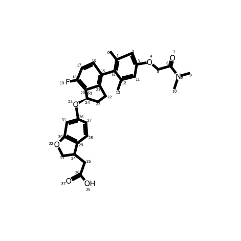 Cc1cc(OCC(=O)N(C)C)cc(C)c1-c1ccc(F)c2c1CC[C@H]2Oc1ccc2c(c1)OCC2CC(=O)O